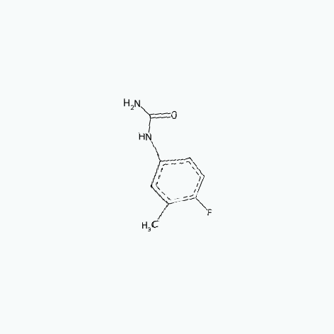 Cc1cc(NC(N)=O)ccc1F